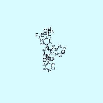 CC(O)(c1ccc(N2CCN(S(=O)(=O)c3ccccc3)C[C@@H]2CC2CCOCC2)cc1)C(F)(F)F